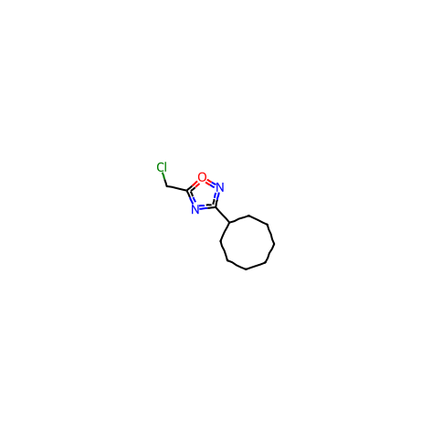 ClCc1nc(C2CCCCCCC2)no1